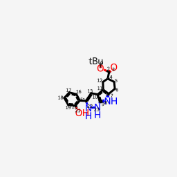 CC(C)(C)OC(=O)C1CCc2[nH]c3c(c2C1)C=C(c1ccccc1O)NN3